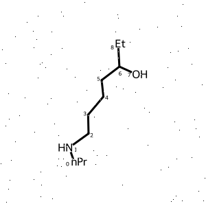 CCCNCCCCC(O)CC